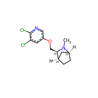 CN1[C@H]2CC[C@H](C2)[C@H]1COc1cnc(Cl)c(Cl)c1